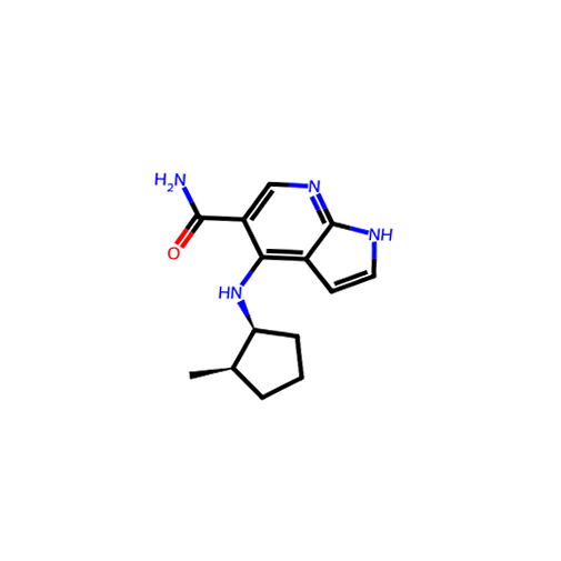 C[C@@H]1CCC[C@@H]1Nc1c(C(N)=O)cnc2[nH]ccc12